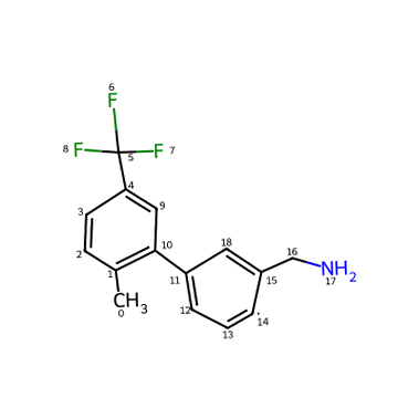 Cc1ccc(C(F)(F)F)cc1-c1cc[c]c(CN)c1